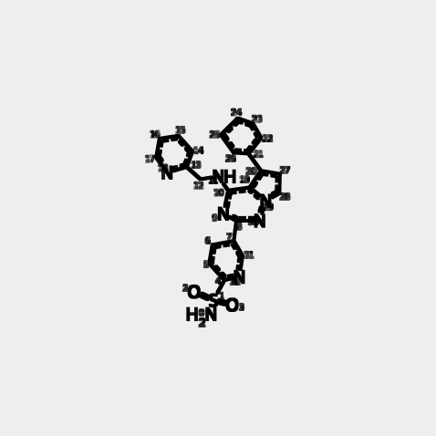 NS(=O)(=O)c1ccc(-c2nc(NCc3ccccn3)c3c(-c4ccccc4)ccn3n2)cn1